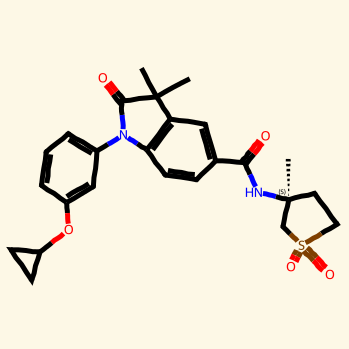 CC1(C)C(=O)N(c2cccc(OC3CC3)c2)c2ccc(C(=O)N[C@@]3(C)CCS(=O)(=O)C3)cc21